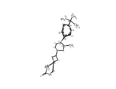 C[C@H]1CN(C2CC3(COC(=O)N3)C2)CC[C@H]1c1ccc(C(C)(C)C)cc1